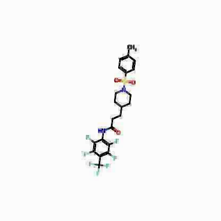 Cc1ccc(S(=O)(=O)N2CCC(CCC(=O)Nc3c(F)c(F)c(C(F)(F)F)c(F)c3F)CC2)cc1